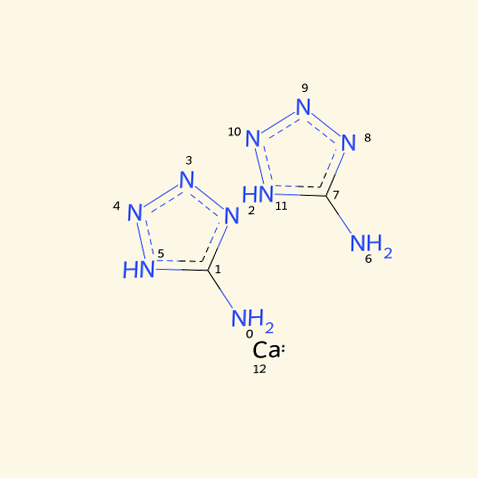 Nc1nnn[nH]1.Nc1nnn[nH]1.[Ca]